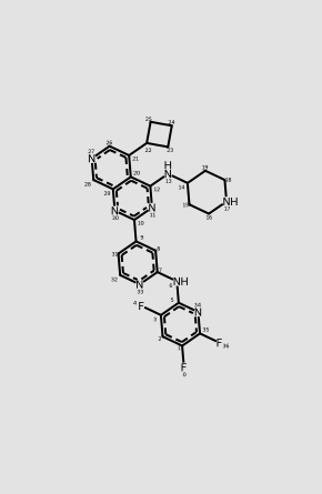 Fc1cc(F)c(Nc2cc(-c3nc(NC4CCNCC4)c4c(C5CCC5)cncc4n3)ccn2)nc1F